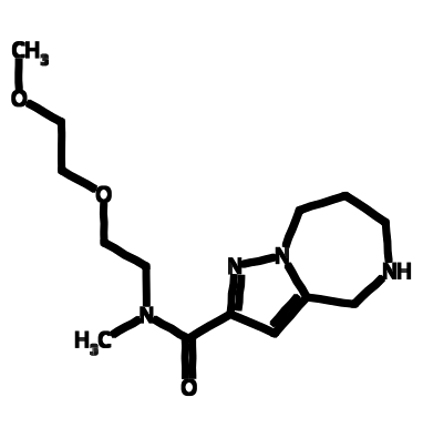 COCCOCCN(C)C(=O)c1cc2n(n1)CCCNC2